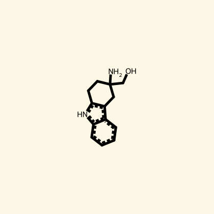 NC1(CO)CCc2[nH]c3ccccc3c2C1